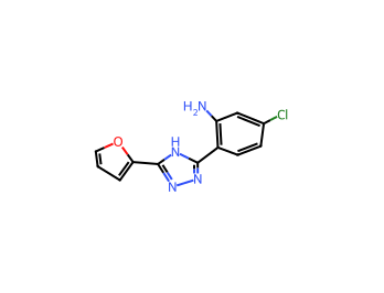 Nc1cc(Cl)ccc1-c1nnc(-c2ccco2)[nH]1